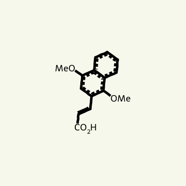 COc1cc(/C=C/C(=O)O)c(OC)c2ccccc12